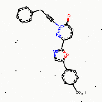 O=C(O)c1ccc(-c2cnc(-c3ccc(=O)n(C#CCc4ccccc4)n3)o2)cc1